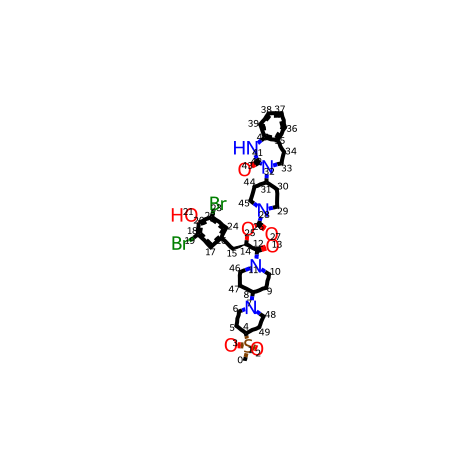 CS(=O)(=O)C1CCN(C2CCN(C(=O)[C@@H](Cc3cc(Br)c(O)c(Br)c3)OC(=O)N3CCC(N4CCc5ccccc5NC4=O)CC3)CC2)CC1